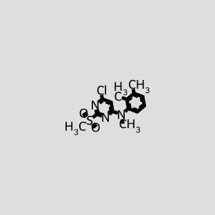 Cc1cccc(N(C)c2cc(Cl)nc(S(C)(=O)=O)n2)c1C